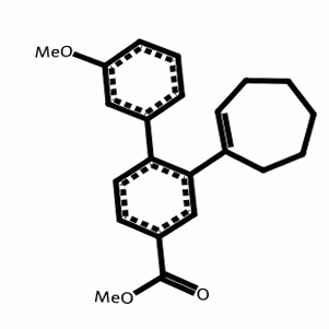 COC(=O)c1ccc(-c2cccc(OC)c2)c(C2=CCCCCC2)c1